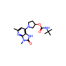 Cc1cc(N2CCC(OC(=O)NC(C)(C)C)C2)c2[nH]c(=O)n(C)c2n1